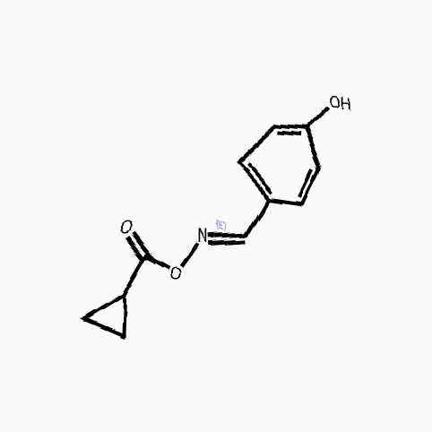 O=C(O/N=C/c1ccc(O)cc1)C1CC1